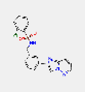 O=S(=O)(NCc1cccc(-c2cn3ncccc3n2)c1)c1ccccc1Cl